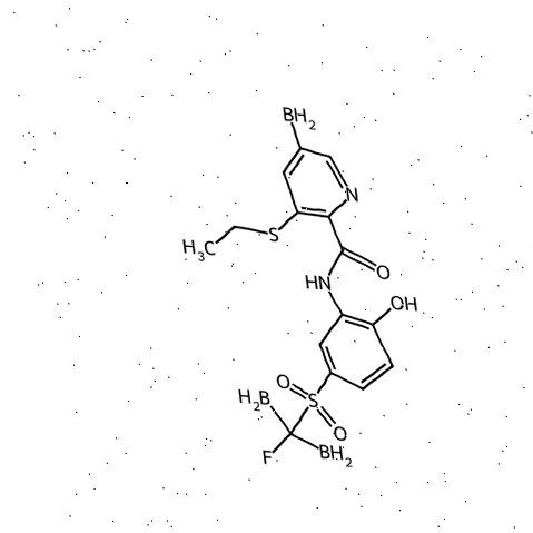 Bc1cnc(C(=O)Nc2cc(S(=O)(=O)C(B)(B)F)ccc2O)c(SCC)c1